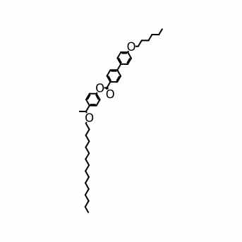 CCCCCCCCCCCCCCCCOC(C)c1ccc(OC(=O)c2ccc(-c3ccc(OCCCCCC)cc3)cc2)cc1